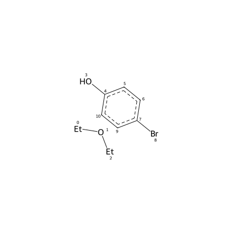 CCOCC.Oc1ccc(Br)cc1